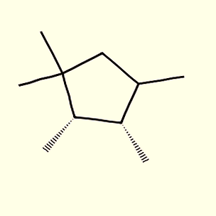 CC1CC(C)(C)[C@@H](C)[C@H]1C